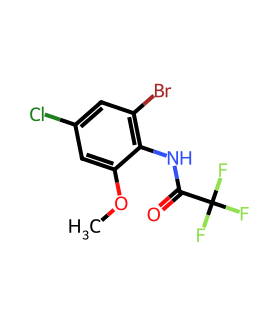 COc1cc(Cl)cc(Br)c1NC(=O)C(F)(F)F